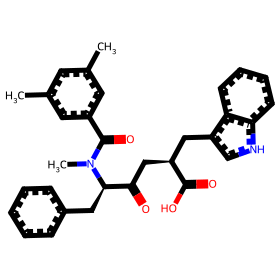 Cc1cc(C)cc(C(=O)N(C)[C@H](Cc2ccccc2)C(=O)C[C@@H](Cc2c[nH]c3ccccc23)C(=O)O)c1